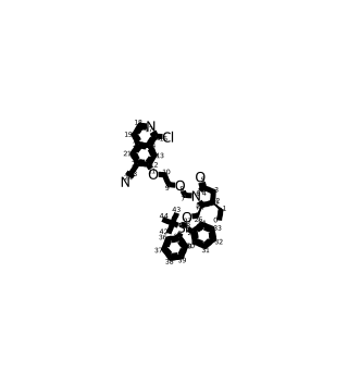 CC[C@@H]1CC(=O)N(COCCOc2cc3c(Cl)nccc3cc2C#N)[C@@H]1CO[Si](c1ccccc1)(c1ccccc1)C(C)(C)C